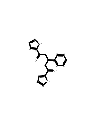 O=C(CC(CC(=O)c1ccco1)c1ccccc1)c1ccco1